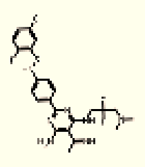 CC(=N)c1c(N)nc(-c2ccc(NSc3cc(Cl)ccc3F)cc2)nc1NCC(F)(F)CN(C)C